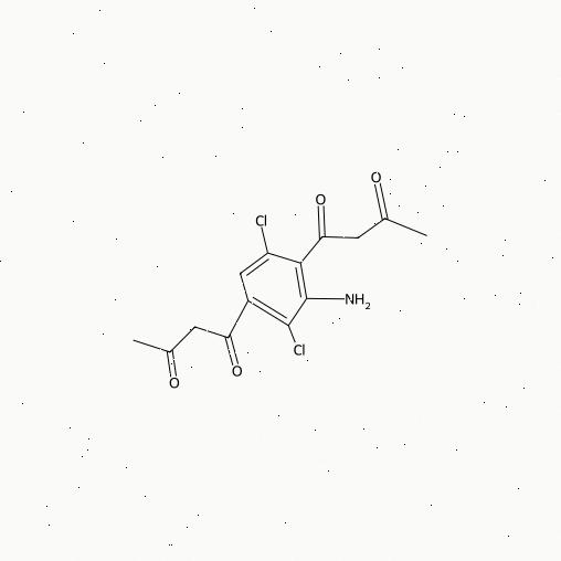 CC(=O)CC(=O)c1cc(Cl)c(C(=O)CC(C)=O)c(N)c1Cl